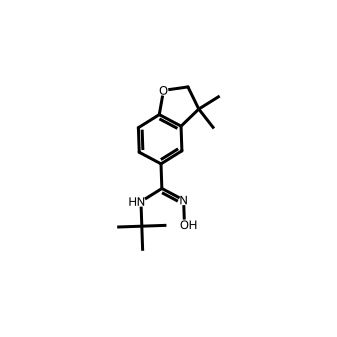 CC(C)(C)NC(=NO)c1ccc2c(c1)C(C)(C)CO2